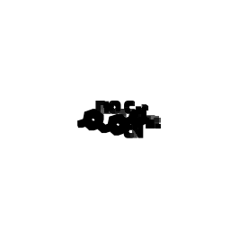 CCOC(=O)c1c(-c2ccc(Cc3cccc(C)c3)cc2)c(C#N)c(CC)n1C